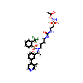 CC(=O)ONS(=O)(=O)CCNC(=O)NCCCCN([C@@H](C)c1cccc(-c2ccncc2C)c1)S(=O)(=O)c1ccccc1C(F)(F)F